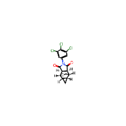 O=C1[C@@H]2[C@@H]3CC[C@@H]([C@@H]4C[C@@H]43)[C@@H]2C(=O)N1c1cc(Cl)c(Cl)c(Cl)c1